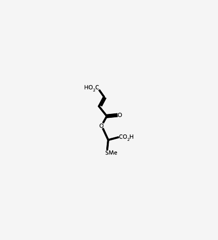 CSC(OC(=O)C=CC(=O)O)C(=O)O